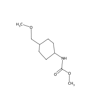 COCC1CCC(NC(=O)OC)CC1